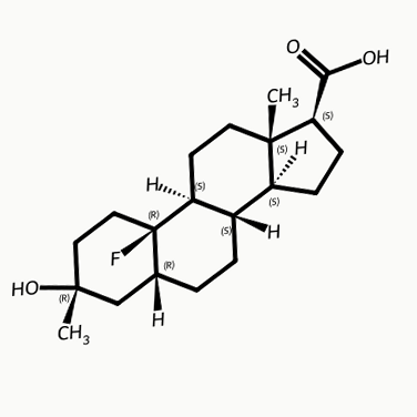 C[C@@]1(O)CC[C@@]2(F)[C@H](CC[C@H]3[C@@H]4CC[C@H](C(=O)O)[C@@]4(C)CC[C@@H]32)C1